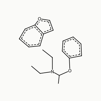 CCN(CC)C(C)Oc1ccccc1.c1ccc2occc2c1